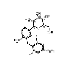 COc1cc(F)c(Cc2cc([C@@H]3O[C@H](CO)[C@@H](O)[C@H](O)[C@H]3O)ccc2N)c(F)c1